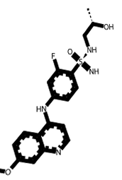 COc1ccc2c(Nc3ccc([S@](=N)(=O)NC[C@H](C)O)c(F)c3)ccnc2c1